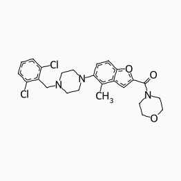 Cc1c(N2CCN(Cc3c(Cl)cccc3Cl)CC2)ccc2oc(C(=O)N3CCOCC3)cc12